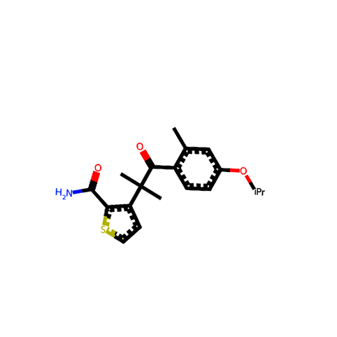 Cc1cc(OC(C)C)ccc1C(=O)C(C)(C)c1ccsc1C(N)=O